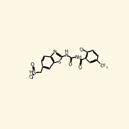 O=C(NC(=O)c1cc(C(F)(F)F)ccc1Cl)Nc1nc2ccc(C[SH](=O)=O)cc2s1